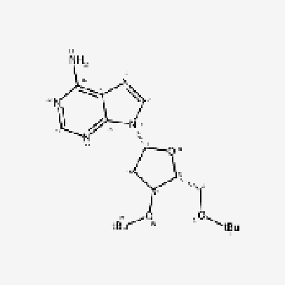 CC(C)(C)OC[C@H]1O[C@@H](n2cnc3c(N)ncnc32)CC1OC(C)(C)C